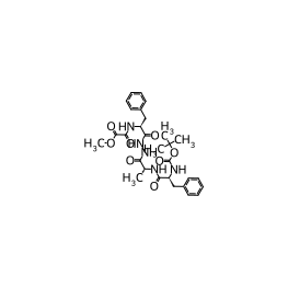 COC(=O)C(=O)N[C@@H](Cc1ccccc1)C(=O)NNC(=O)[C@H](C)NC(=O)[C@H](Cc1ccccc1)NC(=O)OC(C)(C)C